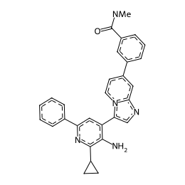 CNC(=O)c1cccc(-c2ccn3c(-c4cc(-c5ccccc5)nc(C5CC5)c4N)cnc3c2)c1